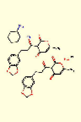 CC1=CC(=O)C(C(=O)CCc2ccc3c(c2)OCO3)C(=O)O1.CC1=CC(=O)C(C(=O)CCc2ccc3c(c2)OCO3)C(=O)O1.N[C@@H]1CCCC[C@H]1N.O.[Pt]